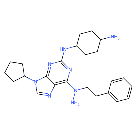 NC1CCC(Nc2nc(N(N)CCc3ccccc3)c3ncn(C4CCCC4)c3n2)CC1